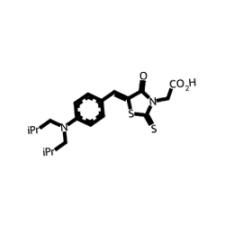 CC(C)CN(CC(C)C)c1ccc(/C=C2\SC(=S)N(CC(=O)O)C2=O)cc1